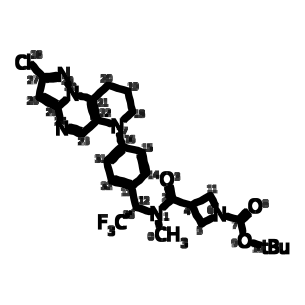 CN(C(=O)C1CN(C(=O)OC(C)(C)C)C1)[C@@H](c1ccc(N2CCCc3c2cnc2cc(Cl)nn32)cc1)C(F)(F)F